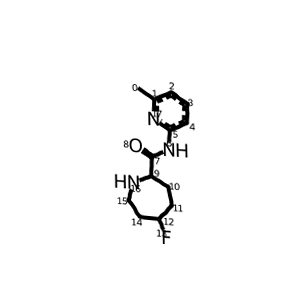 Cc1cccc(NC(=O)C2CCC(F)CCN2)n1